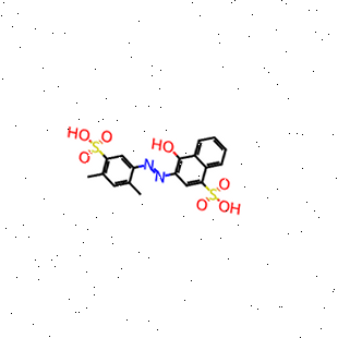 Cc1cc(C)c(S(=O)(=O)O)cc1N=Nc1cc(S(=O)(=O)O)c2ccccc2c1O